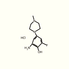 CN1CCN(c2cc(N)c(O)c(F)c2)CC1.Cl